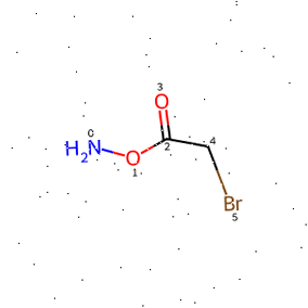 NOC(=O)CBr